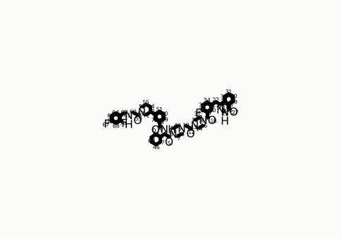 O=C(N[C@@H](C(=O)N1CCN(CC(=O)N2CCN(C(=O)c3cc(Cc4n[nH]c(=O)c5ccccc45)ccc3F)CC2)CC1)C1CCCCC1)c1cccc(C2CCCN(C(=O)CNCc3ccc(F)cc3F)C2)c1